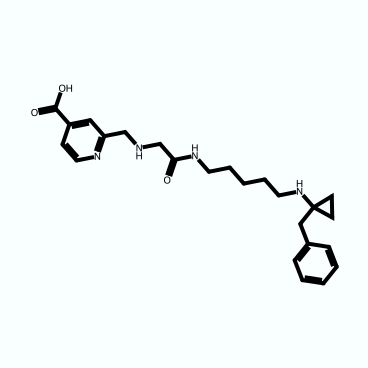 O=C(CNCc1cc(C(=O)O)ccn1)NCCCCCNC1(Cc2ccccc2)CC1